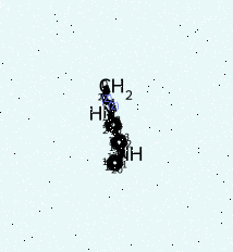 C=C/C=C\C=C/Nc1ccc(-c2ccc(Nc3ccccc3)cc2)cc1